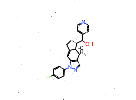 C[C@]12Cc3cnn(-c4ccc(F)cc4)c3C=C1CC[C@@H]2[C@H](O)c1ccncc1